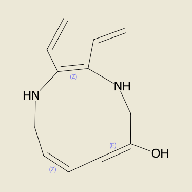 C=C/C1=C(\C=C)NC/C(O)=C\C=C/CN1